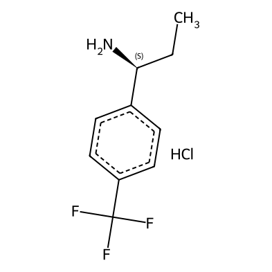 CC[C@H](N)c1ccc(C(F)(F)F)cc1.Cl